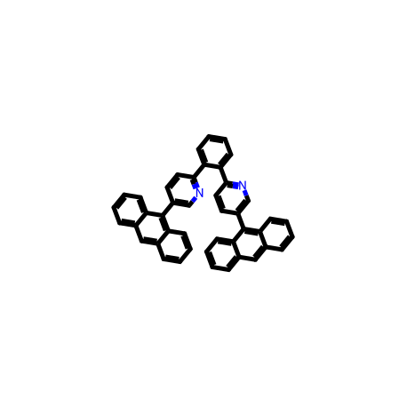 c1ccc(-c2ccc(-c3c4ccccc4cc4ccccc34)cn2)c(-c2ccc(-c3c4ccccc4cc4ccccc34)cn2)c1